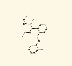 CON=C(C(=O)NC(C)=O)c1ccccc1COc1ccccc1C